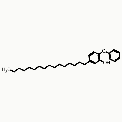 CCCCCCCCCCCCCCCCc1ccc(Oc2ccccc2)c(O)c1